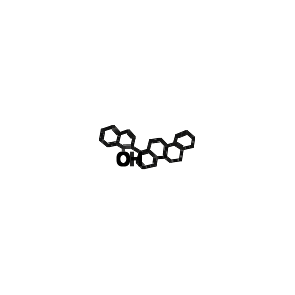 Oc1c(-c2cccc3c4c(ccc23)C2=C(CCC=C2)CC4)ccc2ccccc12